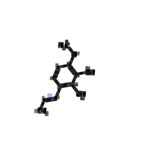 C/C=C/c1ccc(OC)c(O)c1O